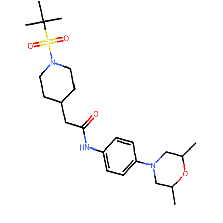 CC1CN(c2ccc(NC(=O)CC3CCN(S(=O)(=O)C(C)(C)C)CC3)cc2)CC(C)O1